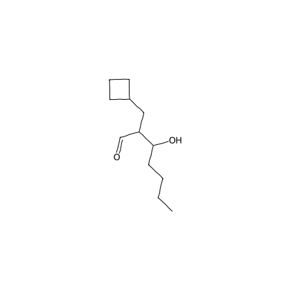 CCCCC(O)C(C=O)CC1CCC1